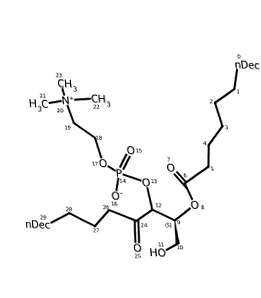 CCCCCCCCCCCCCCCC(=O)O[C@@H](CO)C(OP(=O)([O-])OCC[N+](C)(C)C)C(=O)CCCCCCCCCCCCC